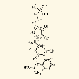 CC(C)[C@H](Nc1nc(Cl)nc2c1ccn2[C@@H]1O[C@H](COCP(=O)(O)O)[C@@H](O)[C@H]1O)c1ccccc1